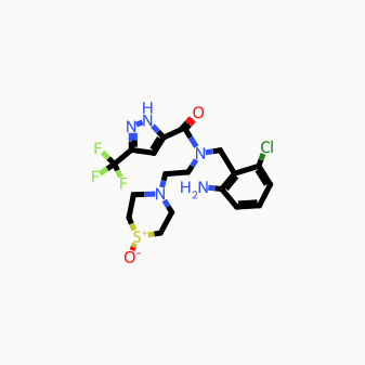 Nc1cccc(Cl)c1CN(CCN1CC[S+]([O-])CC1)C(=O)c1cc(C(F)(F)F)n[nH]1